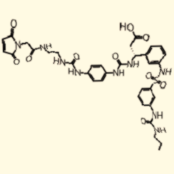 CCCNC(=O)Nc1cccc(S(=O)(=O)Nc2cccc([C@@H](CC(=O)O)NC(=O)Nc3ccc(NC(=O)NCCNC(=O)CN4C(=O)C=CC4=O)cc3)c2)c1